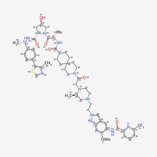 COc1cc2nn(CCN3CCN(CC(=O)N4CCC5(CCC(C(=O)N[C@H](C(=O)N6C[C@H](O)C[C@H]6C(=O)N[C@@H](C)c6ccc(-c7scnc7C)cc6)C(C)(C)C)CC5)CC4)[C@H](C)C3)cc2cc1NC(=O)c1cccc(C(F)(F)F)n1